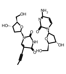 CC#Cc1cn([C@H]2C[C@H](O)[C@@H](CO)O2)c(=O)[nH]c1=O.Nc1ccn([C@H]2C[C@H](O)[C@@H](CO)O2)c(=O)n1